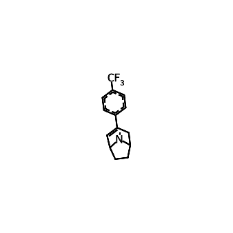 CN1C2C=C(c3ccc(C(F)(F)F)cc3)CC1CC2